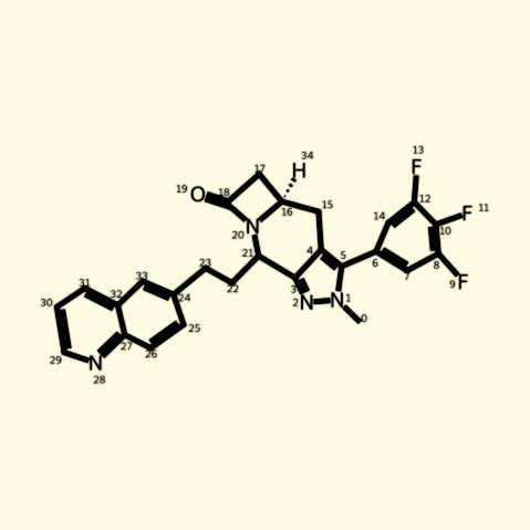 Cn1nc2c(c1-c1cc(F)c(F)c(F)c1)C[C@@H]1CC(=O)N1C2CCc1ccc2ncccc2c1